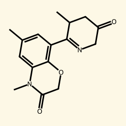 Cc1cc(C2=NCC(=O)CC2C)c2c(c1)N(C)C(=O)CO2